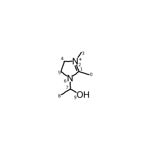 CC1=[N+](C)CCN1C(C)O